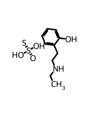 CCNCCc1ccccc1O.O=S(O)(O)=S